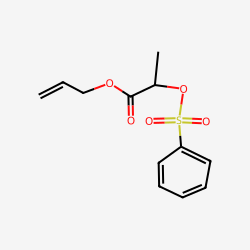 C=CCOC(=O)C(C)OS(=O)(=O)c1ccccc1